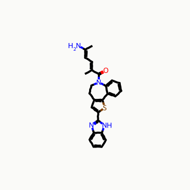 C/C(N)=C\C=C(/C)C(=O)N1CCc2cc(-c3nc4ccccc4[nH]3)sc2-c2ccccc21